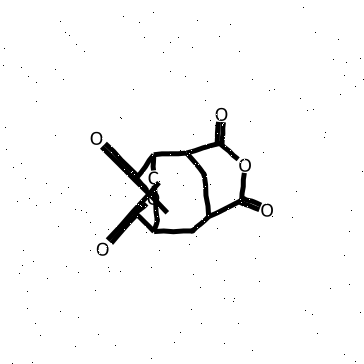 O=C1OC(=O)C2CCC1CC1CC2C(=O)OC1=O